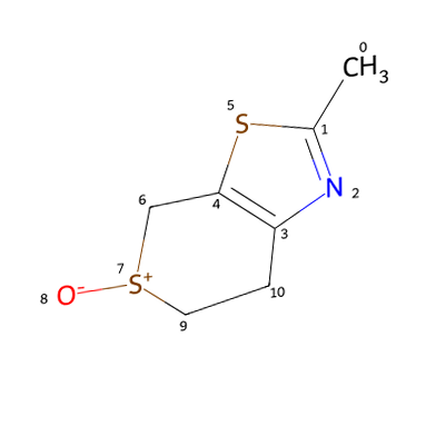 Cc1nc2c(s1)C[S+]([O-])CC2